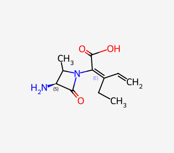 C=C/C(CC)=C(\C(=O)O)N1C(=O)[C@@H](N)C1C